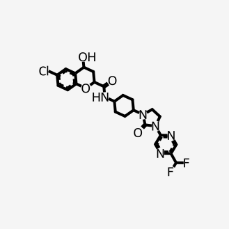 O=C(NC1CCC(N2CCN(c3cnc(C(F)F)cn3)C2=O)CC1)C1CC(O)c2cc(Cl)ccc2O1